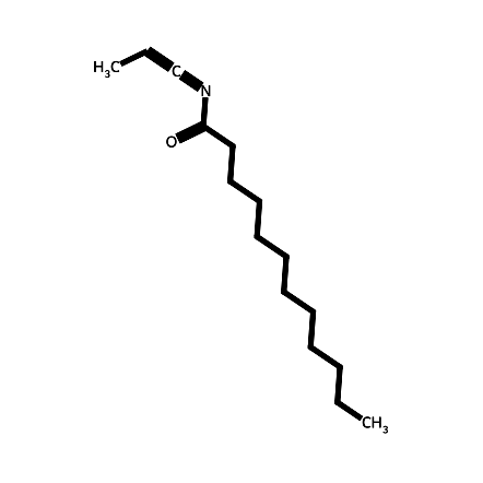 CC=C=NC(=O)CCCCCCCCCCC